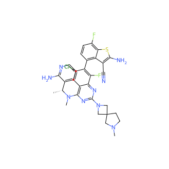 C[C@H](c1cccnc1N)N(C)c1nc(N2CC3(CCN(C)C3)C2)nc2c(F)c(-c3ccc(F)c4sc(N)c(C#N)c34)c(Cl)cc12